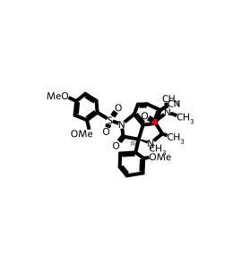 COc1ccc(S(=O)(=O)N2C(=O)[C@](c3ccccc3OC)(N(C)C(C)C(=O)N(C)C)c3cc(C#N)ccc32)c(OC)c1